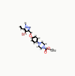 C=Cc1c(Br)c(COc2ccc(N3CCN(C(=O)OC(C)(C)C)CC3)cc2)nn1C